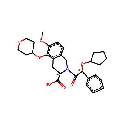 COc1ccc2c(c1OC1CCOCC1)C[C@H](C(=O)O)N(C(=O)[C@@H](OC1CCCC1)c1ccccc1)C2